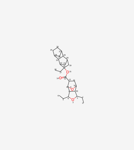 CCC1OC(CC)C2C3OC(CC3C(=O)OC3(CC)CC4CC3C3C5CCC(C5)C43)C12